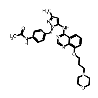 CC(=O)Nc1ccc(Sn2nc(C)cc2Nc2ncnc3c(OCCCN4CCOCC4)cccc23)cc1